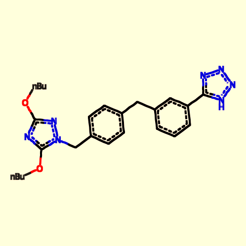 CCCCOc1nc(OCCCC)n(Cc2ccc(Cc3cccc(-c4nnn[nH]4)c3)cc2)n1